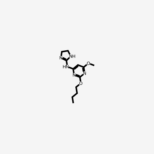 CCCCOc1nc(NC2=NCCN2)cc(OC)n1